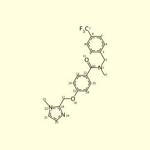 CN(Cc1ccc(C(F)(F)F)cc1)C(=O)c1ccc(OCc2nccn2C)cc1